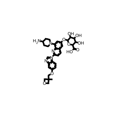 CC1(COc2ccc3c(c2)ncn3-c2ccc3cc(OC4OC(C(=O)O)C(O)C(O)C4O)cc(N4CCC(N)CC4)c3n2)COC1